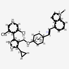 Cn1ccc2c(/C=C/C34CCC(OCc5c(-c6c(Cl)cncc6Cl)noc5C5CC5)(CC3)CC4)cccc21